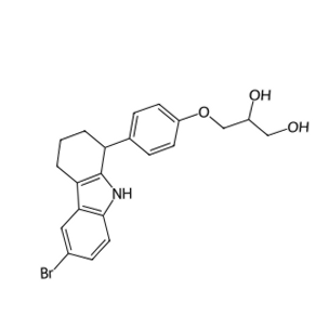 OCC(O)COc1ccc(C2CCCc3c2[nH]c2ccc(Br)cc32)cc1